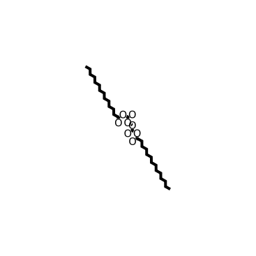 CCCCCCCCCCCCCC(=O)OC(=O)OOC(=O)OC(=O)CCCCCCCCCCCCC